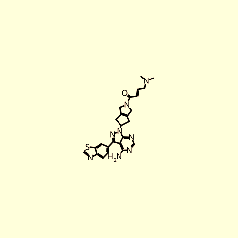 CN(C)CC=CC(=O)N1CC2=C(CC(n3nc(-c4ccc5ncsc5c4)c4c(N)ncnc43)C2)C1